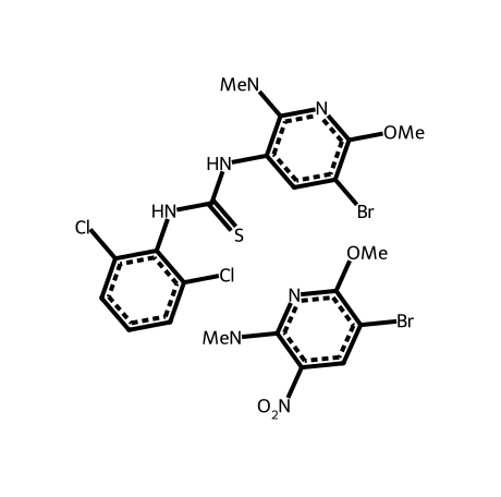 CNc1nc(OC)c(Br)cc1NC(=S)Nc1c(Cl)cccc1Cl.CNc1nc(OC)c(Br)cc1[N+](=O)[O-]